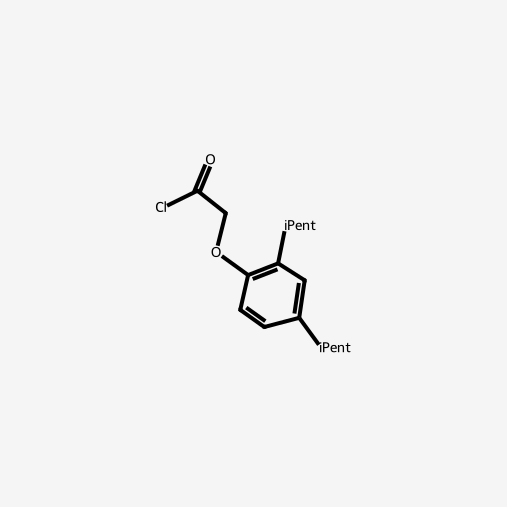 CCCC(C)c1ccc(OCC(=O)Cl)c(C(C)CCC)c1